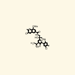 CCOc1c(C(N)=O)cc([C@](O)(CO)CNC(=O)c2cc(OC)c3nc(C)c(Cl)cc3c2)nc1-c1cc(Cl)c(F)cc1F